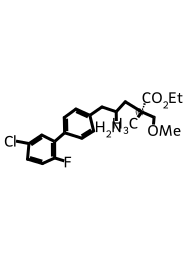 CCOC(=O)[C@@](C)(COC)CC(N)Cc1ccc(-c2cc(Cl)ccc2F)cc1